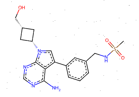 CS(=O)(=O)NCc1cccc(-c2cn([C@H]3C[C@@H](CO)C3)c3ncnc(N)c23)c1